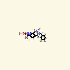 CN1Cc2cc(C(=O)NO)ccc2CN1Cc1ccccc1